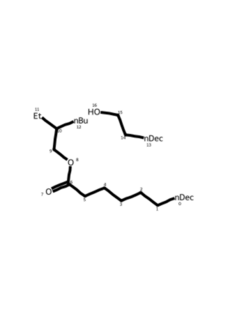 CCCCCCCCCCCCCCCC(=O)OCC(CC)CCCC.CCCCCCCCCCCCO